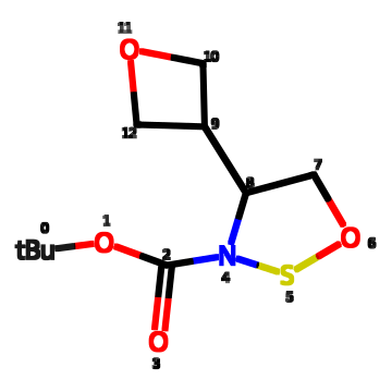 CC(C)(C)OC(=O)N1SOCC1C1COC1